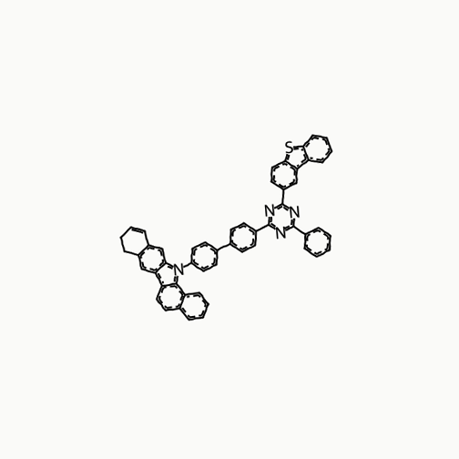 C1=Cc2cc3c(cc2CC1)c1ccc2ccccc2c1n3-c1ccc(-c2ccc(-c3nc(-c4ccccc4)nc(-c4ccc5sc6ccccc6c5c4)n3)cc2)cc1